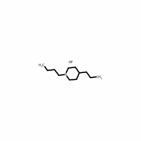 CCCCN1CCC(CCC)CC1.F